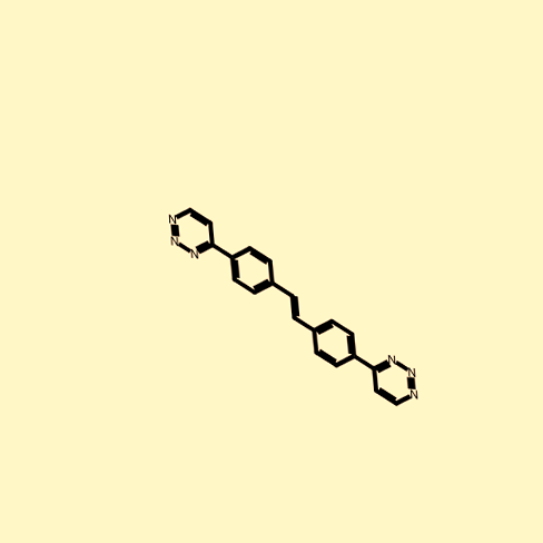 C(=Cc1ccc(-c2ccnnn2)cc1)c1ccc(-c2ccnnn2)cc1